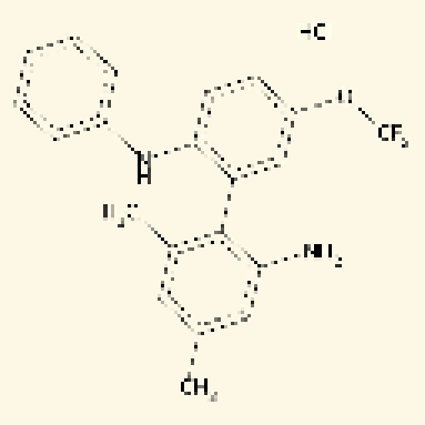 Cc1cc(C)c(-c2cc(OC(F)(F)F)ccc2Nc2ccccc2)c(N)c1.Cl